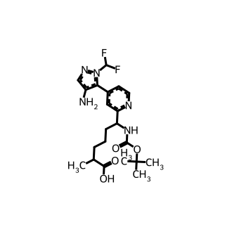 CC(CCCC(NC(=O)OC(C)(C)C)c1cc(-c2c(N)cnn2C(F)F)ccn1)C(=O)O